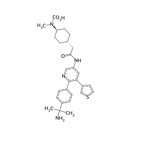 CN(C(=O)O)[C@H]1CC[C@H](CC(=O)Nc2cnc(-c3ccc(C(C)(C)N)cc3)c(-c3ccsc3)c2)CC1